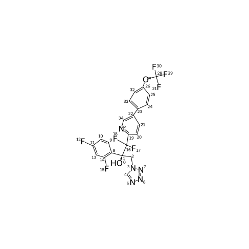 O[C@@](Cn1cnnn1)(c1ccc(F)cc1F)C(F)(F)c1ccc(-c2ccc(OC(F)(F)F)cc2)cn1